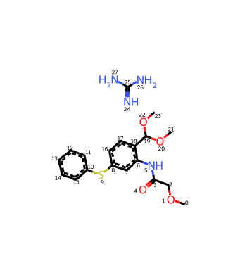 COCC(=O)Nc1cc(Sc2ccccc2)ccc1[C](OC)OC.N=C(N)N